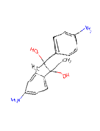 CC(O)(c1ccc(N)cc1)C(C)(O)c1ccc(N)cc1